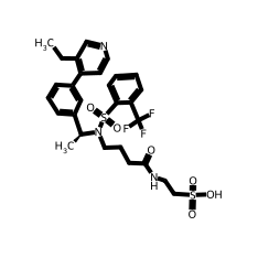 CCc1cnccc1-c1cccc([C@H](C)N(CCCC(=O)NCCS(=O)(=O)O)S(=O)(=O)c2ccccc2C(F)(F)F)c1